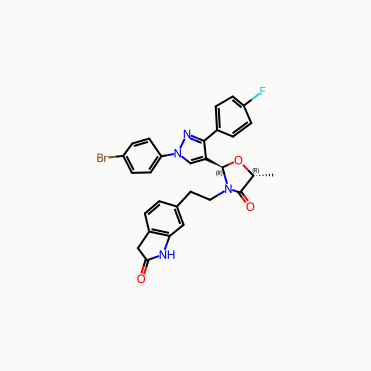 C[C@H]1O[C@H](c2cn(-c3ccc(Br)cc3)nc2-c2ccc(F)cc2)N(CCc2ccc3c(c2)NC(=O)C3)C1=O